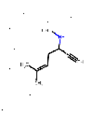 C#CC(CC=C(C)C)NC=O